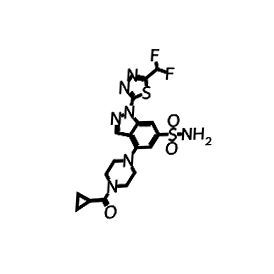 NS(=O)(=O)c1cc(N2CCN(C(=O)C3CC3)CC2)c2cnn(-c3nnc(C(F)F)s3)c2c1